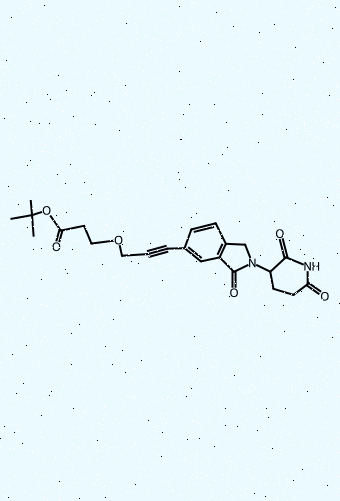 CC(C)(C)OC(=O)CCOCC#Cc1ccc2c(c1)C(=O)N(C1CCC(=O)NC1=O)C2